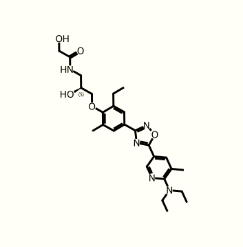 CCc1cc(-c2noc(-c3cnc(N(CC)CC)c(C)c3)n2)cc(C)c1OC[C@@H](O)CNC(=O)CO